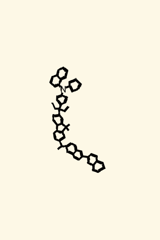 CCC(CC)(c1ccc(N(c2ccccc2)c2cccc3ccccc23)cc1)c1ccc2c(c1)C(C)(C)c1cc(C(C)c3ccc4cc(-c5ccc6ccccc6c5)ccc4c3)ccc1-2